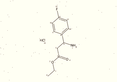 CCOC(=O)CC(N)c1ccc(F)cc1.Cl